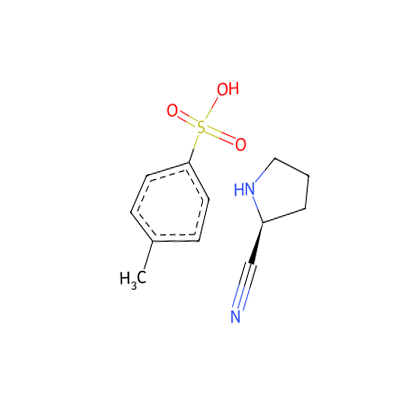 Cc1ccc(S(=O)(=O)O)cc1.N#C[C@@H]1CCCN1